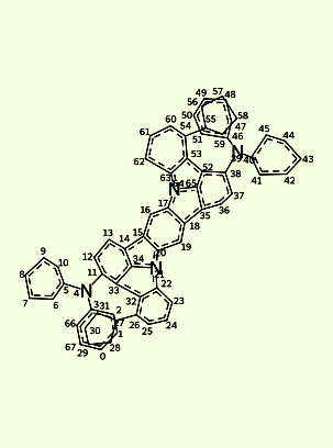 c1ccc(N(c2ccccc2)c2ccc3c4cc5c(cc4n4c6cccc(C7CCCC7)c6c2c34)c2ccc(N(c3ccccc3)c3ccccc3)c3c4c(C6CCCC6)cccc4n5c23)cc1